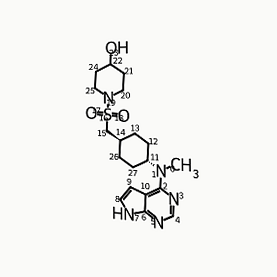 CN(c1ncnc2[nH]ccc12)[C@H]1CC[C@H](CS(=O)(=O)N2CCC(O)CC2)CC1